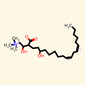 CCCCC/C=C\C/C=C\CCCCCC(O)CCC(C(=O)[O-])C(O)C[N+](C)(C)C